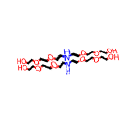 OCCOCCOCCNCCOCCOCCO.OCCOCCOCCNCCOCCOCCO